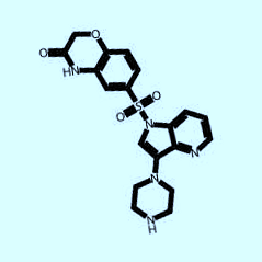 O=C1COc2ccc(S(=O)(=O)n3cc(N4CCNCC4)c4ncccc43)cc2N1